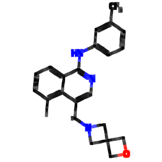 Cc1cccc2c(Nc3cccc(C(F)(F)F)c3)ncc([C]N3CC4(COC4)C3)c12